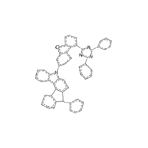 c1ccc(-c2nc(-c3ccccc3)nc(-c3cccc4oc5cc(-n6c7ccccc7c7c8c(ccc76)C(c6ccccc6)c6ccccc6-8)ccc5c34)n2)cc1